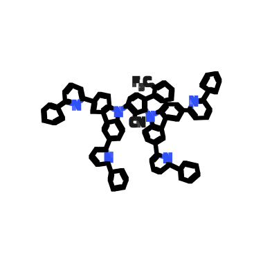 N#Cc1c(-n2c3ccc(-c4cccc(-c5ccccc5)n4)cc3c3cc(-c4cccc(-c5ccccc5)n4)ccc32)ccc(-c2ccccc2C(F)(F)F)c1-n1c2ccc(-c3cccc(-c4ccccc4)n3)cc2c2cc(-c3cccc(-c4ccccc4)n3)ccc21